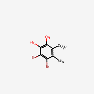 CCCCc1c(Br)c(Br)c(O)c(O)c1C(=O)O